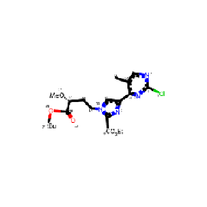 CCOC(=O)c1nc(-c2nc(Cl)ncc2C)cn1C[CH][C@@H](OC)C(=O)OC(C)(C)C